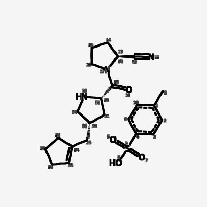 Cc1ccc(S(=O)(=O)O)cc1.N#C[C@@H]1CCCN1C(=O)[C@@H]1C[C@H](CC2=CCCC2)CN1